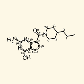 CCCC1CCN(C(=O)c2csc3c(O)nc(N)nc23)CC1